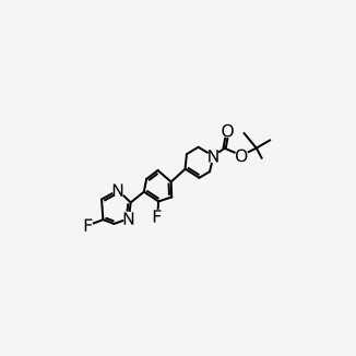 CC(C)(C)OC(=O)N1CC=C(c2ccc(-c3ncc(F)cn3)c(F)c2)CC1